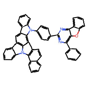 c1ccc(-c2nc(-c3ccc(-n4c5ccccc5c5cc6c7ccccc7n7c8c9ccccc9ccc8c(c54)c67)cc3)nc3c2oc2ccccc23)cc1